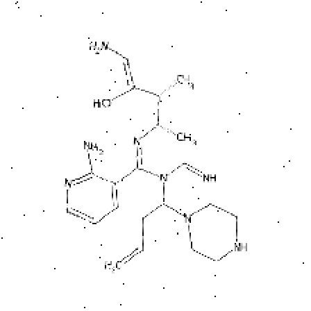 C=CCC(N1CCNCC1)N(C=N)/C(=N\[C@@H](C)[C@@H](C)C(O)=CN)c1cccnc1N